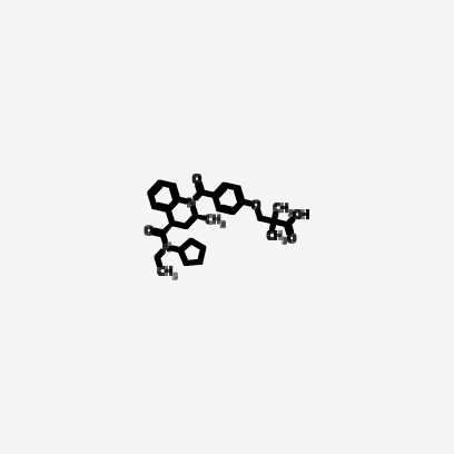 CCN(C(=O)[C@@H]1C[C@H](C)N(C(=O)c2ccc(OCC(C)(C)C(=O)O)cc2)c2ccccc21)C1CCCC1